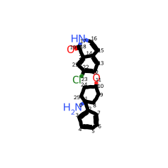 NC1(c2ccccc2)CCC(Oc2cc3cc[nH]c(=O)c3cc2Cl)CC1